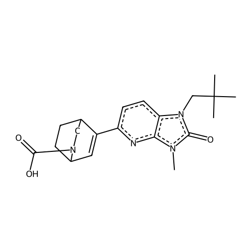 Cn1c(=O)n(CC(C)(C)C)c2ccc(C3=CC4CCC3CN4C(=O)O)nc21